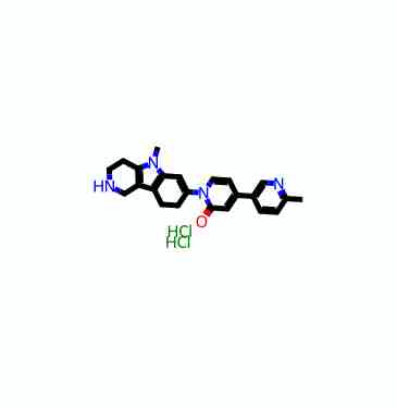 Cc1ccc(-c2ccn(C3=Cc4c(c5c(n4C)CCNC5)CC3)c(=O)c2)cn1.Cl.Cl